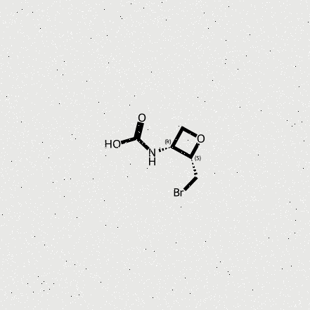 O=C(O)N[C@@H]1CO[C@@H]1CBr